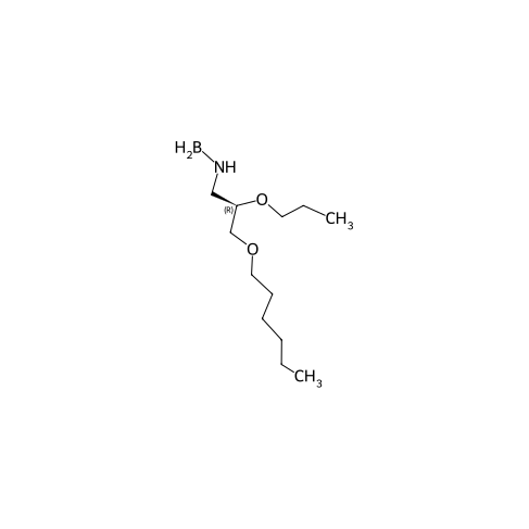 BNC[C@H](COCCCCCC)OCCC